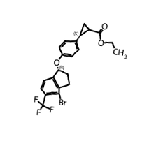 CCOC(=O)C1C[C@@H]1c1ccc(O[C@@H]2CCc3c2ccc(C(F)(F)F)c3Br)cc1